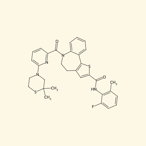 Cc1cccc(F)c1NC(=O)c1cc2c(s1)-c1ccccc1N(C(=O)c1cccc(N3CCSC(C)(C)C3)n1)CC2